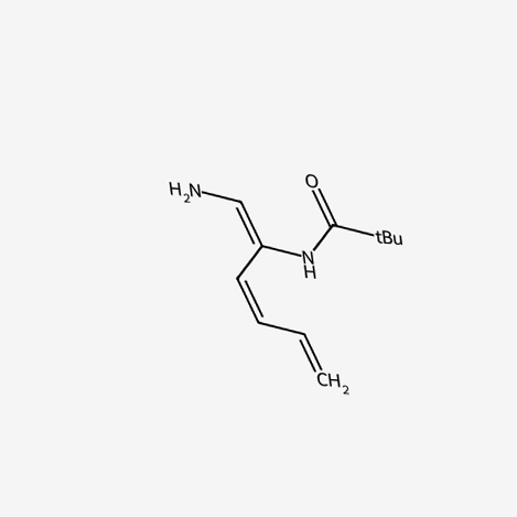 C=C/C=C\C(=C/N)NC(=O)C(C)(C)C